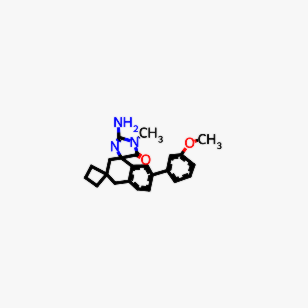 COc1cccc(-c2ccc3c(c2)C2(CC4(CCC4)C3)N=C(N)N(C)C2=O)c1